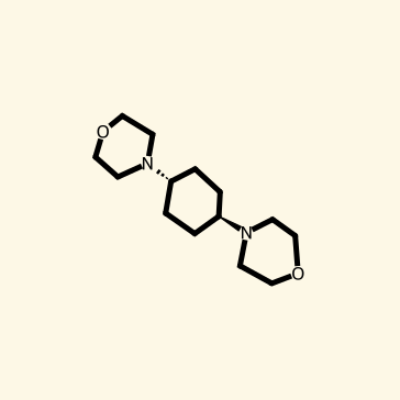 C1CN([C@H]2CC[C@H](N3CCOCC3)CC2)CCO1